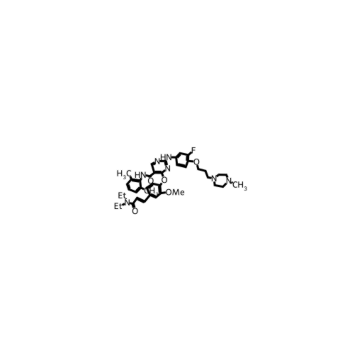 CCN(CC)C(=O)/C=C/c1ccc(Oc2nc(Nc3ccc(OCCCN4CCN(C)CC4)c(F)c3)ncc2C(=O)Nc2c(C)cccc2C)c(OC)c1